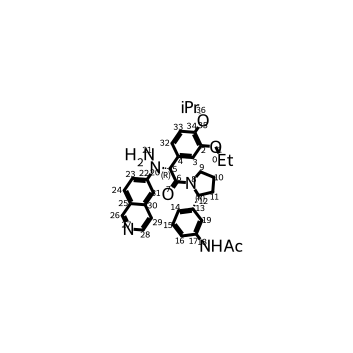 CCOc1cc([C@H](C(=O)N2CCC[C@@H]2c2cccc(NC(C)=O)c2)N(N)c2ccc3cnccc3c2)ccc1OC(C)C